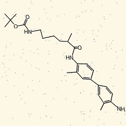 Cc1cc(-c2ccc(NC(=O)C(C)CCCCNC(=O)OC(C)(C)C)c(C)c2)ccc1N